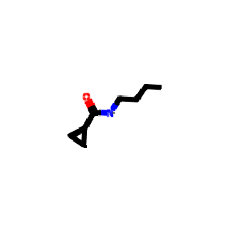 CCCC[N]C(=O)C1CC1